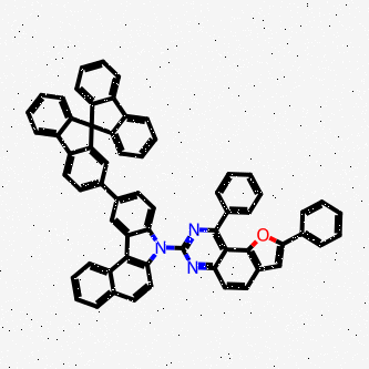 c1ccc(-c2cc3ccc4nc(-n5c6ccc(-c7ccc8c(c7)C7(c9ccccc9-c9ccccc97)c7ccccc7-8)cc6c6c7ccccc7ccc65)nc(-c5ccccc5)c4c3o2)cc1